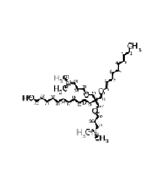 CCCCCCCCCCOCC(CCCCCCCCCCCO)(COCCCN(C)C)COCCCN(C)C